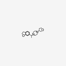 CC(c1ccc2c(c1)OCC2)N1CCN(C2CCOC2)CC1